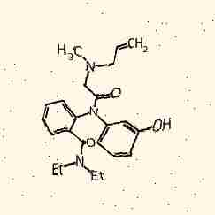 C=CCN(C)CC(=O)N(c1cccc(O)c1)c1ccccc1C(=O)N(CC)CC